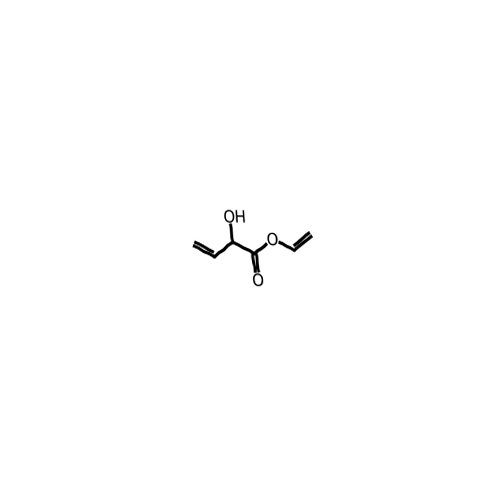 C=COC(=O)C(O)C=C